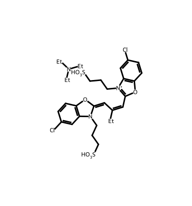 CCC(=Cc1oc2ccc(Cl)cc2[n+]1CCCS(=O)(=O)O)C=C1Oc2ccc(Cl)cc2N1CCCS(=O)(=O)O.CCN(CC)CC